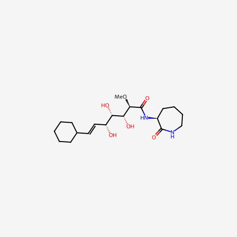 CO[C@@H](C(=O)N[C@H]1CCCCNC1=O)[C@H](O)[C@@H](O)[C@H](O)/C=C/C1CCCCC1